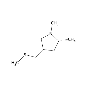 CSCC1C[C@@H](C)N(C)C1